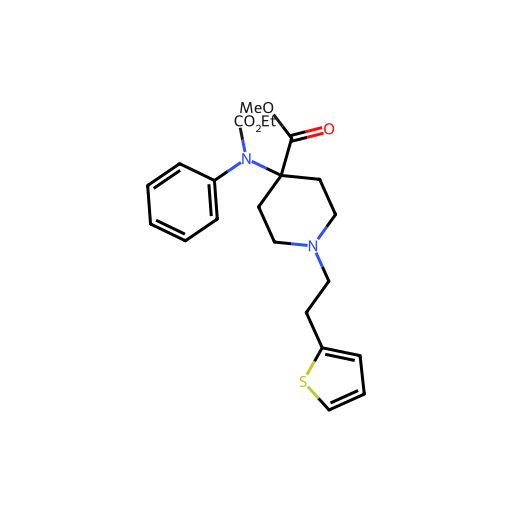 CCOC(=O)N(c1ccccc1)C1(C(=O)OC)CCN(CCc2cccs2)CC1